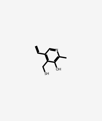 C=Cc1cnc(C)c(O)c1CS